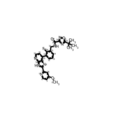 COc1ccnc(-c2nc3c(-c4cccc(CNC(=O)c5noc(C(C)(C)C)n5)c4F)ccnc3[nH]2)c1